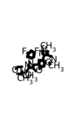 COc1cc2c(cc1-c1nn(C)cc1C#N)-c1c(c(C(=O)N3CCOCC3(C)C)nn1-c1cc(F)cc(F)c1)CO2